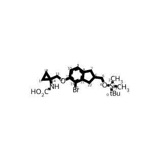 CC(C)(C)[Si](C)(C)OCC1Cc2ccc(OCC3(NC(=O)O)CC3)c(Br)c2C1